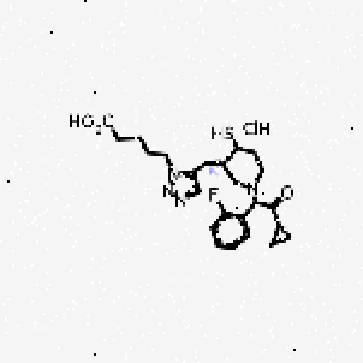 Cl.O=C(O)CCCCn1nncc1/C=C1\CN(C(C(=O)C2CC2)c2ccccc2F)CCC1S